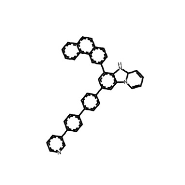 C1=CC2Nc3c(-c4ccc5ccc6ccccc6c5c4)cc(-c4ccc(-c5ccc(-c6cccnc6)cc5)cc4)cc3N2C=C1